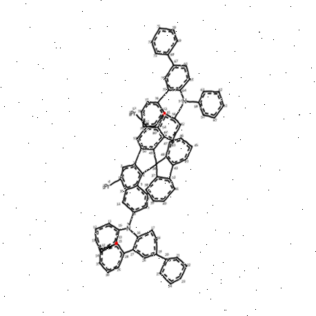 CC(C)c1cc2c(c3ccc(N(c4ccccc4)c4ccc(-c5ccccc5)cc4-c4ccccc4)cc13)C1(c3ccccc3-c3ccccc31)c1c-2cc(C(C)C)c2cc(N(c3ccccc3)c3ccc(-c4ccccc4)cc3-c3ccccc3)ccc12